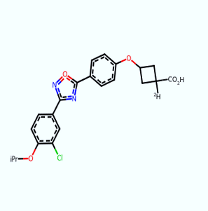 [2H]C1(C(=O)O)CC(Oc2ccc(-c3nc(-c4ccc(OC(C)C)c(Cl)c4)no3)cc2)C1